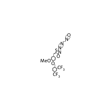 COc1cc(C=C2SC(N3CCN(CCN4CCOCC4)CC3)=NC2=O)ccc1OCc1ccc(C(F)(F)F)cc1C(F)(F)F